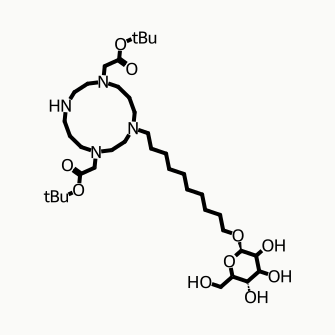 CC(C)(C)OC(=O)CN1CCCN(CCCCCCCCCCO[C@@H]2OC(CO)[C@@H](O)C(O)C2O)CCN(CC(=O)OC(C)(C)C)CCCNCC1